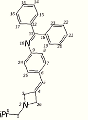 C[C](C)CN1CC(=Cc2ccc(N=C(c3ccccc3)c3ccccc3)cc2)C1